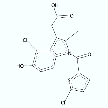 Cc1c(CC(=O)O)c2c(Cl)c(O)ccc2n1C(=O)c1ccc(Cl)s1